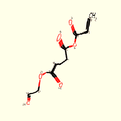 C=CC(=O)OC(=O)CCC(=O)OCC=O